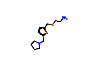 NCCSCc1ccc(CN2CCCC2)s1